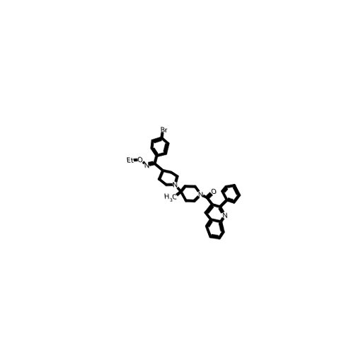 CCON=C(c1ccc(Br)cc1)C1CCN(C2(C)CCN(C(=O)c3cc4ccccc4nc3-c3ccccc3)CC2)CC1